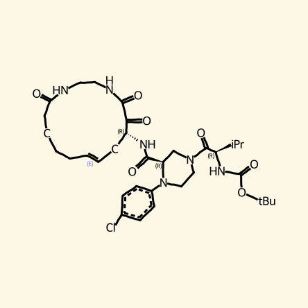 CC(C)[C@@H](NC(=O)OC(C)(C)C)C(=O)N1CCN(c2ccc(Cl)cc2)[C@@H](C(=O)N[C@@H]2C/C=C/CCCCC(=O)NCCNC(=O)C2=O)C1